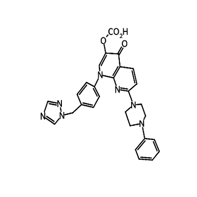 O=C(O)Oc1cn(-c2ccc(Cn3cncn3)cc2)c2nc(N3CCN(c4ccccc4)CC3)ccc2c1=O